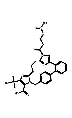 CCCc1nc(C(C)(C)O)c(C(=O)O)n1Cc1ccc(-c2ccccc2-c2nnn(C(=O)CCON(O)O)n2)cc1